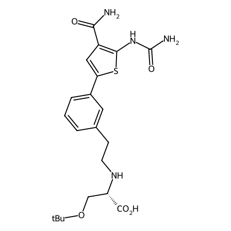 CC(C)(C)OC[C@H](NCCc1cccc(-c2cc(C(N)=O)c(NC(N)=O)s2)c1)C(=O)O